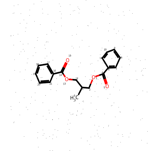 CC(COC(=O)c1ccccc1)COC(=O)c1ccccc1